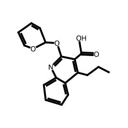 CCCc1c(C(=O)O)c(OC2C=CC=CO2)nc2ccccc12